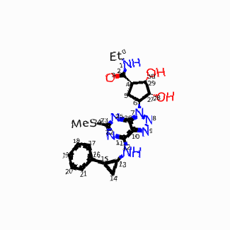 CCNC(=O)[C@@H]1C[C@H](n2nnc3c(NC4CC4c4ccccc4)nc(SC)nc32)[C@@H](O)[C@H]1O